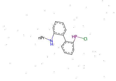 CCCNc1ccccc1-c1ccccc1PCl